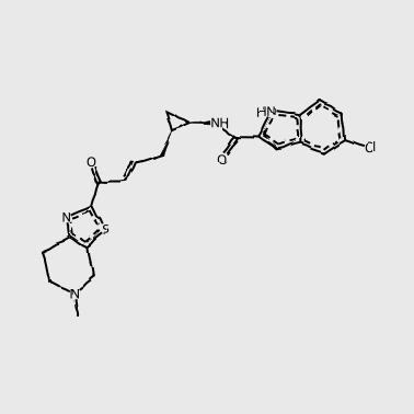 CN1CCc2nc(C(=O)/C=C/C[C@H]3C[C@H]3NC(=O)c3cc4cc(Cl)ccc4[nH]3)sc2C1